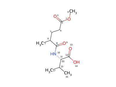 COC(=O)CCC(C)C(=O)N[C@H](C(=O)O)C(C)C